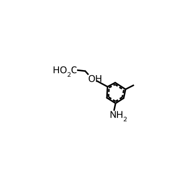 Cc1cc(C)cc(N)c1.O=C(O)CO